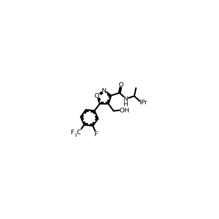 CC(C)C(C)NC(=O)c1noc(-c2ccc(C(F)(F)F)c(F)c2)c1CO